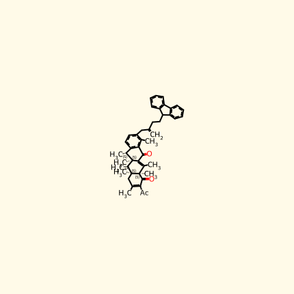 C=C(CCC1c2ccccc2-c2ccccc21)Cc1ccc2c(c1C)C(=O)C1=C(C)[C@@]3(C)C(=O)C(C(C)=O)=C(C)C[C@@]3(C)[C@H](C)[C@@]1(C)[C@@H]2C